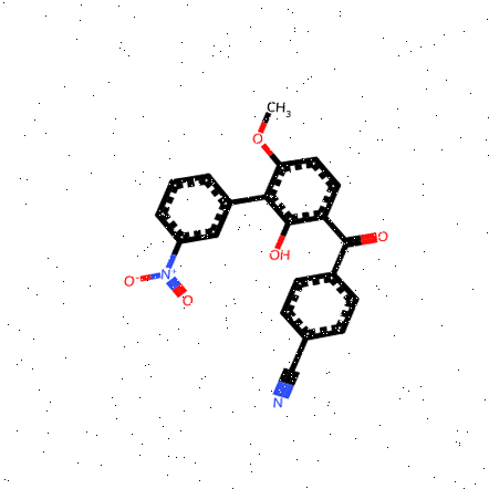 COc1ccc(C(=O)c2ccc(C#N)cc2)c(O)c1-c1cccc([N+](=O)[O-])c1